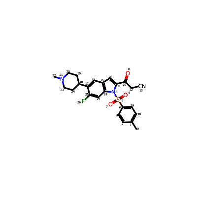 Cc1ccc(S(=O)(=O)n2c(C(=O)CC#N)cc3cc(C4CCN(C)CC4)c(F)cc32)cc1